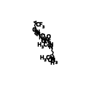 Cc1cn(CCCC2CNC(C)(C)C2)nc1SNC(=O)c1ccc(-n2ccc(OCCC3(C(F)(F)F)CC3)n2)nc1Cl